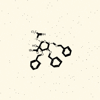 CC(C)(C)C(=O)[C@]1(O)[C@H](OC(=N)C(Cl)(Cl)Cl)O[C@H](COCc2ccccc2)[C@@H](OCc2ccccc2)[C@@H]1OCc1ccccc1